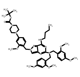 CCCCNc1nc(N(Cc2ccc(OC)cc2OC)Cc2ccc(OC)cc2OC)nc2cn(Cc3ccc(N4CCN(C(=O)OC(C)(C)C)CC4)cc3OC)nc12